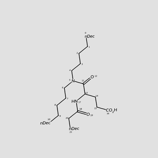 CCCCCCCCCCCCCCN(CCCCCCCCCCCCCC)C(=O)C(CCC(=O)O)NC(=O)CCCCCCCCCCC